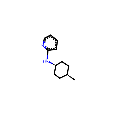 C[C@H]1CC[C@@H](Nc2ccccn2)CC1